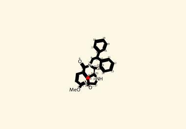 COc1ccc(C(=O)N(CC(c2ccccc2)c2ccccc2)C(S)[C@@H]2CCCN2)c[n+]1[O-]